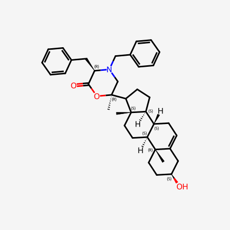 C[C@]12CC[C@H](O)CC1=CC[C@@H]1[C@@H]2CC[C@]2(C)C([C@]3(C)CN(Cc4ccccc4)[C@H](Cc4ccccc4)C(=O)O3)CC[C@@H]12